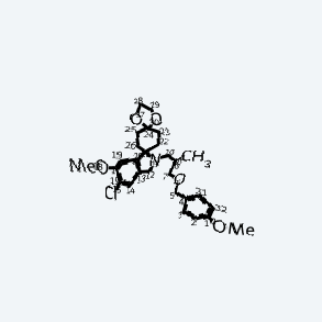 COc1ccc(COC[C@H](C)CN2Cc3cc(Cl)c(OC)cc3C23CCC2(CC3)OCCO2)cc1